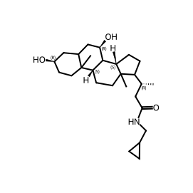 C[C@H](CC(=O)NCC1CC1)C1CC[C@H]2C3[C@H](O)CC4C[C@H](O)CCC4(C)[C@H]3CCC12C